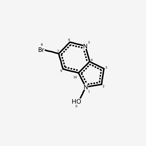 On1ccc2ncc(Br)cc21